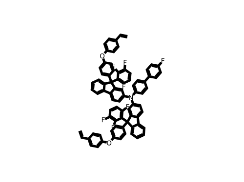 C=Cc1ccc(Oc2ccc(C3(c4c(F)ccc(F)c4F)c4ccccc4-c4ccc(N(c5ccc(-c6ccc(F)cc6)cc5)c5ccc6c(c5)C(c5ccc(Oc7ccc(C=C)cc7)cc5)(c5c(F)ccc(F)c5F)c5ccccc5-6)cc43)cc2)cc1